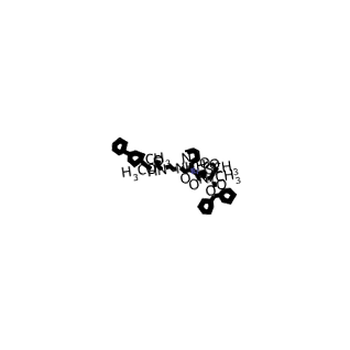 CC(C)(OC(=O)NCCNC(=O)/C(=C1\C(=O)N2[C@@H](C(=O)OC(c3ccccc3)c3ccccc3)C(C)(C)S(=O)(=O)[C@H]12)c1ccccn1)c1ccc(-c2ccccc2)cc1